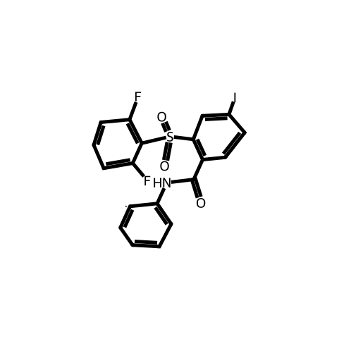 O=C(Nc1[c]cccc1)c1ccc(I)cc1S(=O)(=O)c1c(F)cccc1F